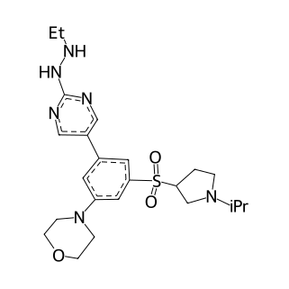 CCNNc1ncc(-c2cc(N3CCOCC3)cc(S(=O)(=O)C3CCN(C(C)C)C3)c2)cn1